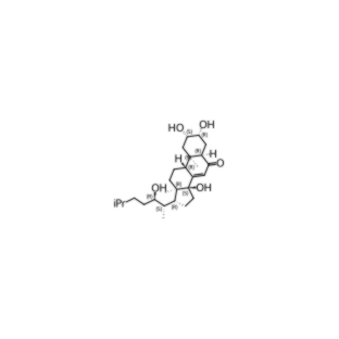 CC(C)CC[C@@H](O)[C@@H](C)[C@H]1CC[C@@]2(O)C3=CC(=O)[C@@H]4C[C@@H](O)[C@@H](O)C[C@]4(C)[C@H]3CC[C@]12C